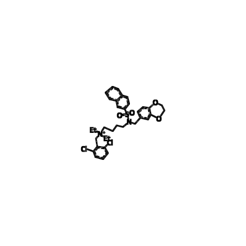 CC[N+](CC)(CCCCN(Cc1ccc2c(c1)OCCO2)S(=O)(=O)c1ccc2ccccc2c1)Cc1c(Cl)cccc1Cl